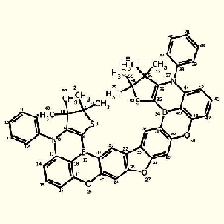 CC1(C)SC2=C(N(c3ccccc3)c3cccc4c3B2c2cc3c(cc2O4)oc2cc4c(cc23)B2C3=C(N(c5ccccc5)c5cccc(c52)O4)C(C)(C)C(C)(C)S3)C1(C)C